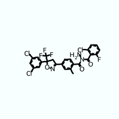 Cc1cc(C2=NOC(c3cc(Cl)cc(Cl)c3)(C(F)(F)F)C2)ccc1C(=O)N(N)C(=O)c1c(F)cccc1Cl